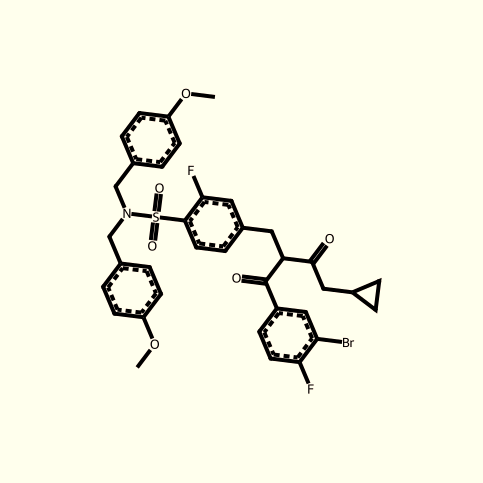 COc1ccc(CN(Cc2ccc(OC)cc2)S(=O)(=O)c2ccc(CC(C(=O)CC3CC3)C(=O)c3ccc(F)c(Br)c3)cc2F)cc1